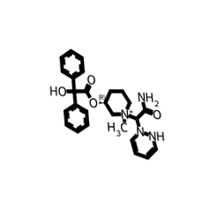 C[N+]1(C(C(N)=O)N2C=CC=CN2)CCC[C@@H](OC(=O)C(O)(c2ccccc2)c2ccccc2)C1